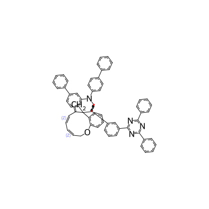 C=C1/C=C\C=C/COc2ccccc2C12c1ccc(-c3ccccc3)cc1N(c1ccc(-c3ccccc3)cc1)c1ccc(-c3cccc(-c4nc(-c5ccccc5)nc(-c5ccccc5)n4)c3)cc12